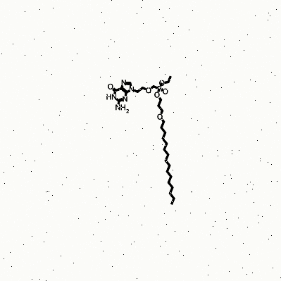 CCCCCCCCCCCCCCCCOCCCOP(=O)(COCCn1cnc2c(=O)[nH]c(N)nc21)OCC